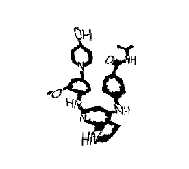 COc1cc(N2CCC(O)CC2)ccc1Nc1cc(Nc2ccc(C(=O)NC(C)C)cc2)c2cc[nH]c2n1